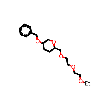 CCOCCOCCOCC1CCC(OCc2ccccc2)CO1